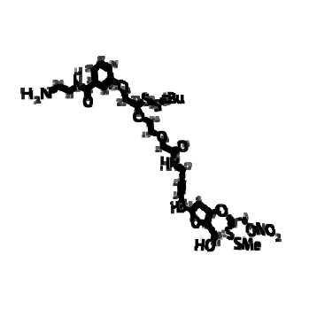 CSS[C@@H](CO[N+](=O)[O-])O[C@@H]1C[C@H](BC#CCNC(=O)COCCOC(COc2cccc(C(=O)NCCN)c2)SSC(C)(C)C)OC1CO